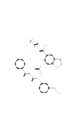 NC(=O)c1ccc2c(c1)CCC2.NCc1cccc(N(CC(=O)O)C(=O)NC(=O)c2ccccc2)c1.O=C(O)C(F)(F)F